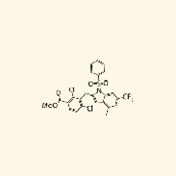 COC(=O)c1ccc(Cl)c(Cc2cc3c(C)cc(C(F)(F)F)cc3n2S(=O)(=O)c2ccccc2)c1Cl